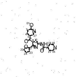 COc1ccc(C(=O)c2sc(NC(=O)c3ccncc3)nc2-c2ccco2)cn1